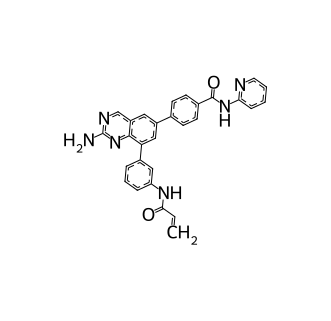 C=CC(=O)Nc1cccc(-c2cc(-c3ccc(C(=O)Nc4ccccn4)cc3)cc3cnc(N)nc23)c1